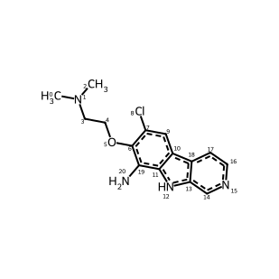 CN(C)CCOc1c(Cl)cc2c([nH]c3cnccc32)c1N